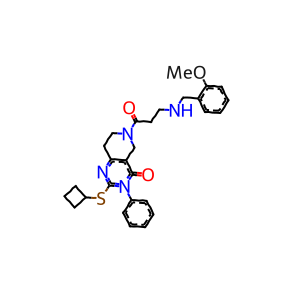 COc1ccccc1CNCCC(=O)N1CCc2nc(SC3CCC3)n(-c3ccccc3)c(=O)c2C1